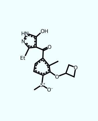 CCc1n[nH]c(O)c1C(=O)c1ccc([S+](C)[O-])c(OC2COC2)c1C